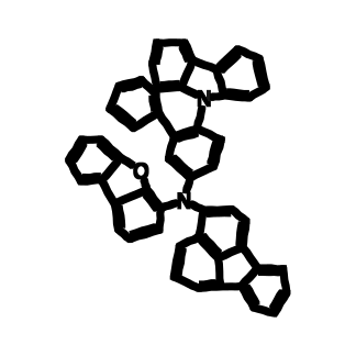 c1ccc(-c2cc(N(c3ccc4c5c(cccc35)-c3ccccc3-4)c3cccc4c3oc3ccccc34)ccc2-n2c3ccccc3c3ccccc32)cc1